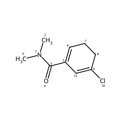 CN(C)C(=O)C1=CC[CH]C(Cl)=C1